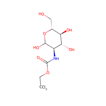 O=C(N[C@H]1C(O)O[C@H](CO)[C@@H](O)[C@@H]1O)OCC(Cl)(Cl)Cl